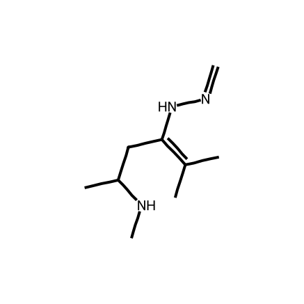 C=NNC(CC(C)NC)=C(C)C